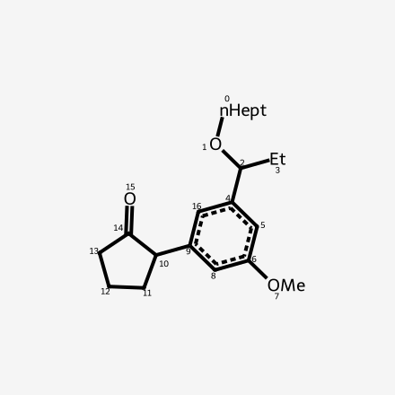 CCCCCCCOC(CC)c1cc(OC)cc(C2CCCC2=O)c1